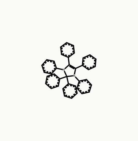 c1ccc(C2=C(c3ccccc3)N(c3ccccc3)C(c3ccccc3)(c3ccccc3)N2c2ccccc2)cc1